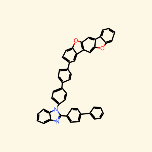 c1ccc(-c2ccc(-c3nc4ccccc4n3-c3ccc(-c4ccc(-c5ccc6oc7cc8c(cc7c6c5)oc5ccccc58)cc4)cc3)cc2)cc1